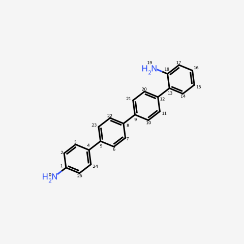 Nc1ccc(-c2ccc(-c3ccc(-c4ccccc4N)cc3)cc2)cc1